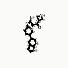 Nc1nc2ccc(-c3cnc4[nH]ccc4c3)cn2c1C(=O)C1CNC1